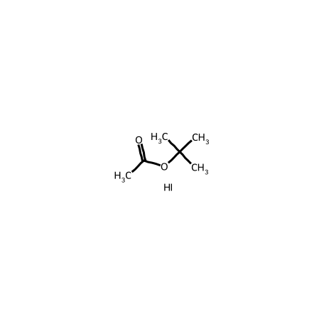 CC(=O)OC(C)(C)C.I